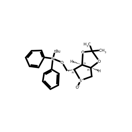 CC1(C)O[C@H]2[C@H](C[S+]([O-])[C@@H]2CO[Si](c2ccccc2)(c2ccccc2)C(C)(C)C)O1